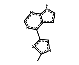 Cc1ncc(-c2ncnc3[nH]ccc23)s1